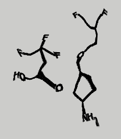 N[C@H]1C[C@@H](OCC(F)F)C1.O=C(O)C(F)(F)F